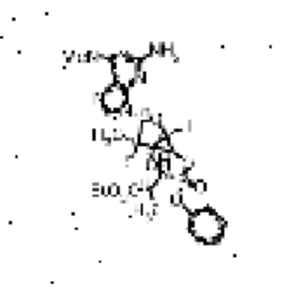 CCOC(=O)[C@@H](C)N[P@](=O)(Oc1ccccc1)OC1[C@H]2O[C@@H](n3cnc4c(NC)nc(N)nc43)[C@](C)(F)[C@@]12O